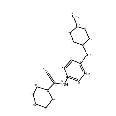 CN1CCC(Sc2ccc(NC(=O)C3CCCCC3)cn2)CC1